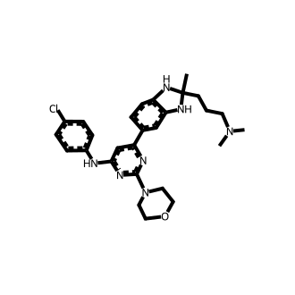 CN(C)CCCC1(C)Nc2ccc(-c3cc(Nc4ccc(Cl)cc4)nc(N4CCOCC4)n3)cc2N1